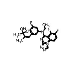 CCN(c1cc(F)cc(C=C(C)C(C)(C)O)c1)c1nc2nncn2c2ccc(F)c(F)c12